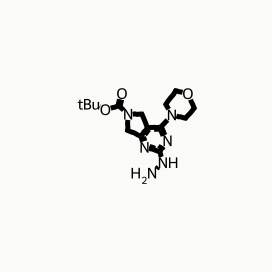 CC(C)(C)OC(=O)N1Cc2nc(NN)nc(N3CCOCC3)c2C1